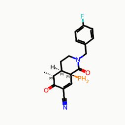 C[C@H]1C(=O)C(C#N)=C[C@@]2(P)C(=O)N(Cc3ccc(F)cc3)CC[C@H]12